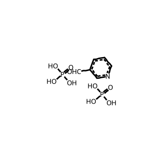 O=Cc1cccnc1.O=P(O)(O)O.O=P(O)(O)O